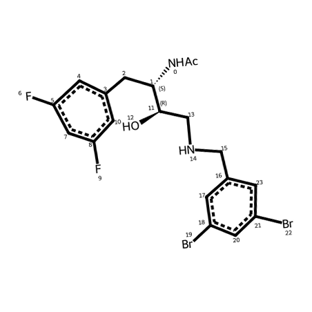 CC(=O)N[C@@H](Cc1cc(F)cc(F)c1)[C@H](O)CNCc1cc(Br)cc(Br)c1